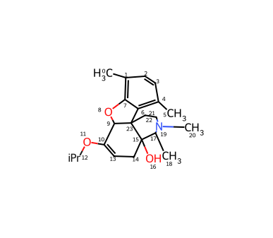 Cc1ccc(C)c2c1OC1C(OC(C)C)=CCC3(O)C(C)N(C)CCC213